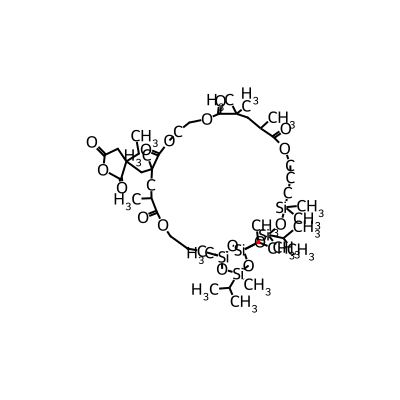 CCC1(CC2(C)CC(C)C(=O)OCCC[Si]3(C)O[Si](C)(C(C)C)O[Si](C(C)C)(O3)O[Si](C)(C(C)C)O[Si](C)(C)CCCOC(=O)C(C)CC(C)(C)C(=O)OCCOC2=O)CC(=O)OC1=O